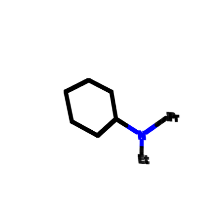 [CH2]CN(C(C)C)C1CCCCC1